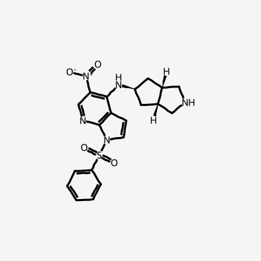 O=[N+]([O-])c1cnc2c(ccn2S(=O)(=O)c2ccccc2)c1N[C@@H]1C[C@H]2CNC[C@H]2C1